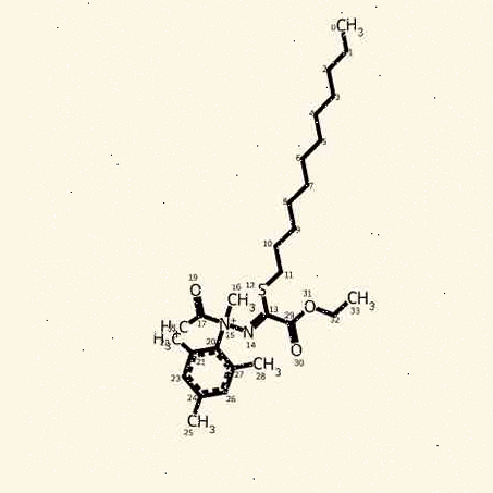 CCCCCCCCCCCCSC(=N[N+](C)(C(C)=O)c1c(C)cc(C)cc1C)C(=O)OCC